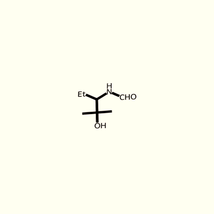 CCC(NC=O)C(C)(C)O